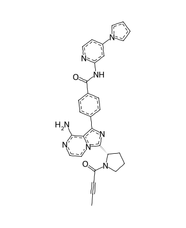 CC#CC(=O)N1CCC[C@H]1c1nc(-c2ccc(C(=O)Nc3cc(-n4cccc4)ccn3)cc2)c2c(N)nccn12